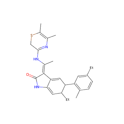 CCc1ccc(C)c(C2C=C3C(=CC2CC)NC(=O)/C3=C(/C)NC2=NC(C)=C(C)SC2)c1